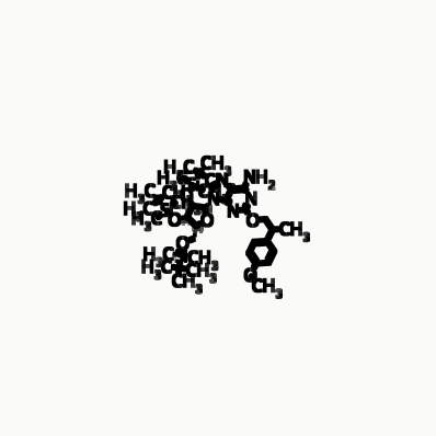 COc1ccc(C(C)COc2nc(N)c3ncn([C@@H]4O[C@H](CO[Si](C)(C)C(C)(C)C)[C@@H](O[Si](C)(C)C(C)(C)C)[C@H]4O[Si](C)(C)C(C)(C)C)c3n2)cc1